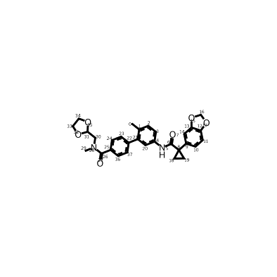 Cc1ccc(NC(=O)C2(c3ccc4c(c3)OCO4)CC2)cc1-c1ccc(C(=O)N(C)CC2OCCO2)cc1